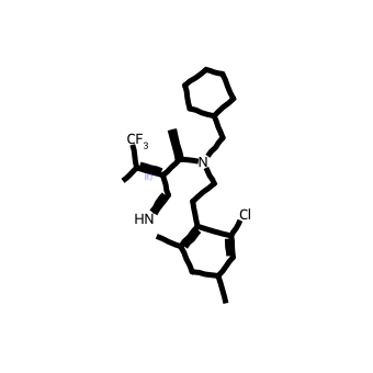 C=C(/C(C=N)=C(/C)C(F)(F)F)N(CCC1=C(C)CC(C)C=C1Cl)CC1CCCCC1